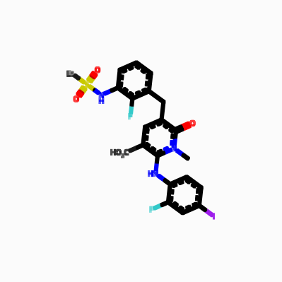 CCS(=O)(=O)Nc1cccc(Cc2cc(C(=O)O)c(Nc3ccc(I)cc3F)n(C)c2=O)c1F